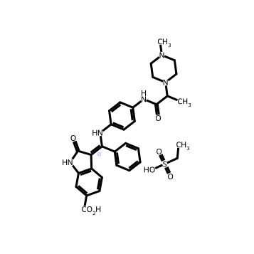 CC(C(=O)Nc1ccc(N/C(=C2\C(=O)Nc3cc(C(=O)O)ccc32)c2ccccc2)cc1)N1CCN(C)CC1.CCS(=O)(=O)O